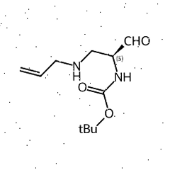 C=CCNC[C@@H](C=O)NC(=O)OC(C)(C)C